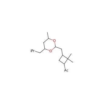 CC(=O)C1CC(CC2OC(C)CC(CC(C)C)O2)C1(C)C